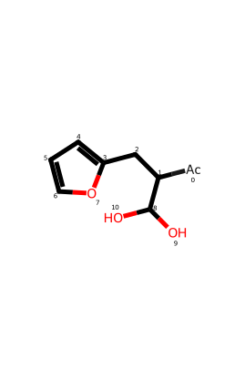 CC(=O)C(Cc1ccco1)C(O)O